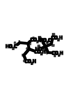 O=C(O)CC(C(=O)O)C(CC(=O)O)C(=O)O.O=C(O)CC(O)(CC(=O)O)C(=O)O